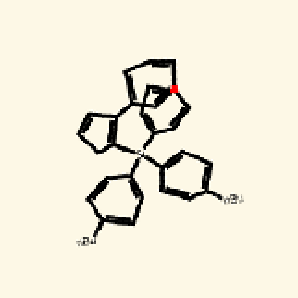 CCCCc1ccc([Si](C2=C(c3ccccc3)C=CC2)(c2ccccc2)c2ccc(CCCC)cc2)cc1